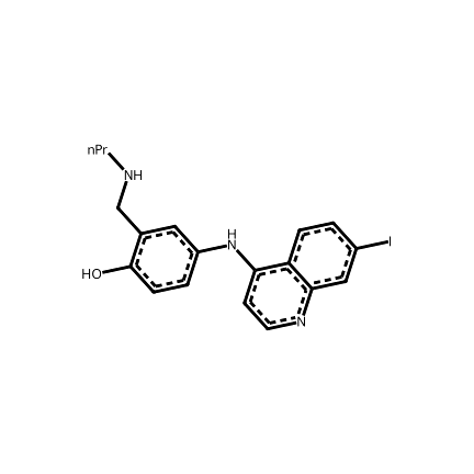 CCCNCc1cc(Nc2ccnc3cc(I)ccc23)ccc1O